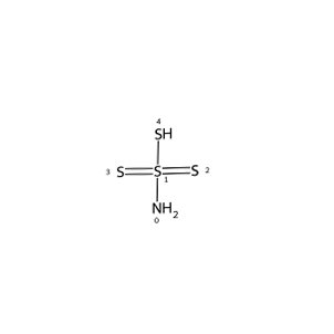 NS(=S)(=S)S